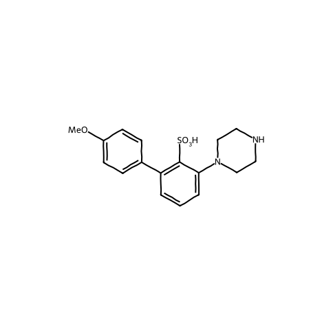 COc1ccc(-c2cccc(N3CCNCC3)c2S(=O)(=O)O)cc1